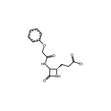 CCC(=O)CC[C@H]1NC(=O)C1NC(=O)COc1ccccc1